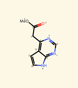 COC(=O)Cc1ncnc2[nH]ccc12